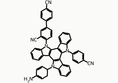 N#Cc1ccc(-c2ccc(-n3c4ccccc4c4c3c3c5ccccc5n(-c5ccc(C#N)cc5)c3c3c5ccccc5n(C5C=CC(N)=CC5)c34)c(C#N)c2)cc1